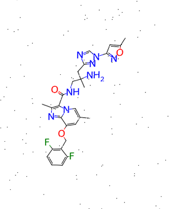 Cc1cc(OCc2c(F)cccc2F)c2nc(C)c(C(=O)NCC(C)(N)Cc3ncn(-c4cc(C)on4)n3)n2c1